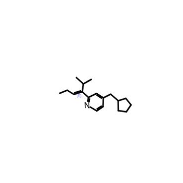 CC/C=C(/c1cc(CC2CCCC2)ccn1)C(C)C